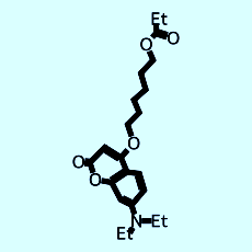 CCC(=O)OCCCCCCOc1cc(=O)oc2cc(N(CC)CC)ccc12